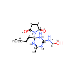 CCCCCCCCCCC=CC1(N2C(=O)CCC2=O)N=C(C)N=C(NCO)N1